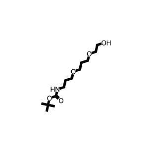 CC(C)(C)OC(=O)NCCCOCCCOCCO